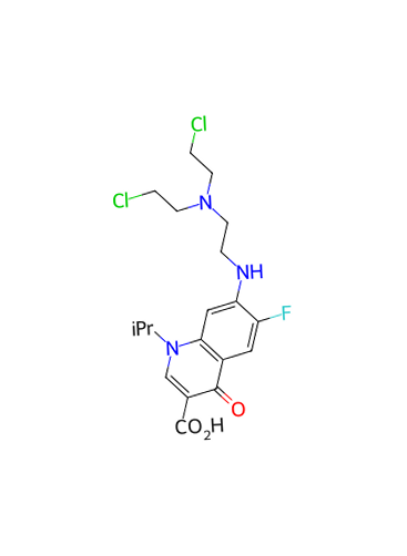 CC(C)n1cc(C(=O)O)c(=O)c2cc(F)c(NCCN(CCCl)CCCl)cc21